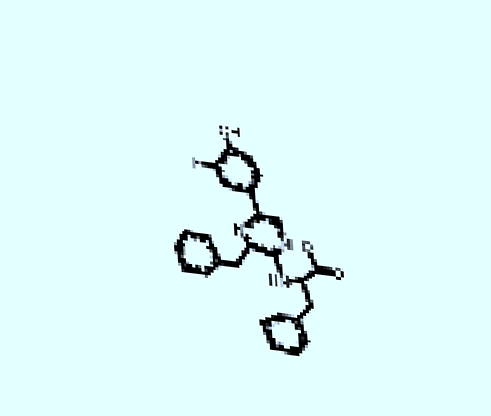 O=C(O)C(Cc1ccccc1)Nc1ncc(-c2ccc(O)c(F)c2)nc1Cc1ccccc1